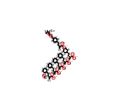 C=C(CCc1ccccc1)C(=O)[O-].C=C(CCc1ccccc1)C(=O)[O-].C=C(CCc1ccccc1)C(=O)[O-].C=C(CCc1ccccc1)C(=O)[O-].C=C(CCc1ccccc1)C(=O)[O-].C=C(CCc1ccccc1)C(=O)[O-].[C]=O.[C]=O.[C]=O.[W+6]